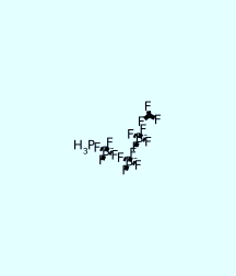 FC(F)F.F[B-](F)(F)F.F[B-](F)(F)F.F[B-](F)(F)F.P